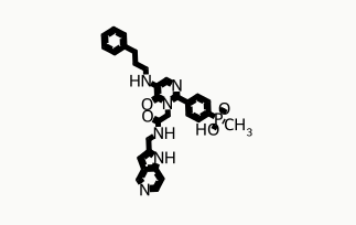 CP(=O)(O)c1ccc(-c2ncc(NCCCc3ccccc3)c(=O)n2CC(=O)NCc2cc3cnccc3[nH]2)cc1